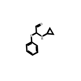 O=C[C](NC1CC1)Oc1ccccc1